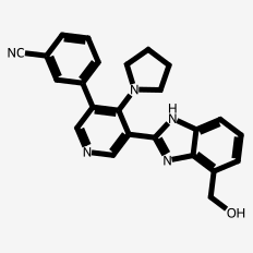 N#Cc1cccc(-c2cncc(-c3nc4c(CO)cccc4[nH]3)c2N2CCCC2)c1